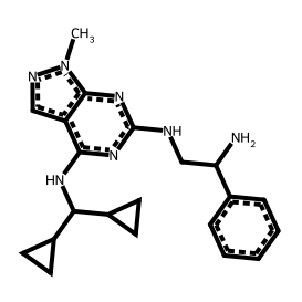 Cn1ncc2c(NC(C3CC3)C3CC3)nc(NCC(N)c3ccccc3)nc21